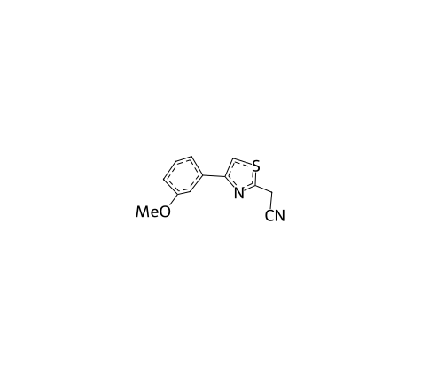 COc1cccc(-c2csc(CC#N)n2)c1